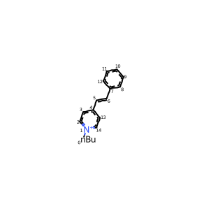 CCCC[n+]1ccc(C=Cc2ccccc2)cc1